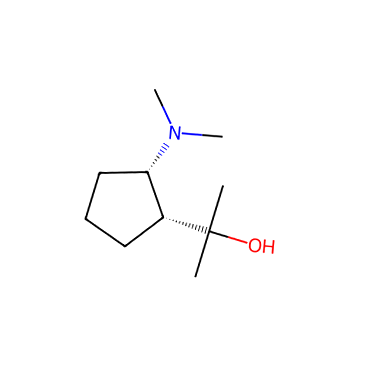 CN(C)[C@H]1CCC[C@H]1C(C)(C)O